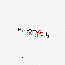 [CH2]OC(=O)Cc1cc(C)on1